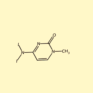 Cn1ccc(N(I)I)nc1=O